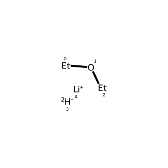 CCOCC.[2H-].[Li+]